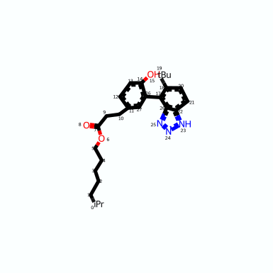 CC(C)CCCCCOC(=O)CCc1ccc(O)c(-c2c(C(C)(C)C)ccc3[nH]nnc23)c1